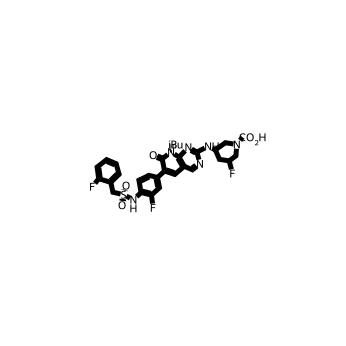 CC[C@@H](C)n1c(=O)c(-c2ccc(NS(=O)(=O)Cc3ccccc3F)c(F)c2)cc2cnc(NC3CC(F)CN(C(=O)O)C3)nc21